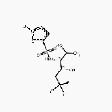 CC(O)[C@@H](NS(=O)(=O)c1ccc(Cl)s1)[C@H](C)CC(F)(F)F